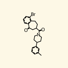 Cc1cccc(C2CCN(C(=O)C3CCc4c(Br)cccc4C(=O)C3)CC2)c1